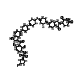 C[C@@H]1CN(CC2CCN(c3ccc(-c4cnc5[nH]cc(C(=O)c6c(F)ccc(NS(=O)(=O)N7CC[C@@H](F)C7)c6F)c5c4)cc3)CC2)CCN1c1ccc2c(c1)CN(C1CCC(=O)NC1=O)C2=O